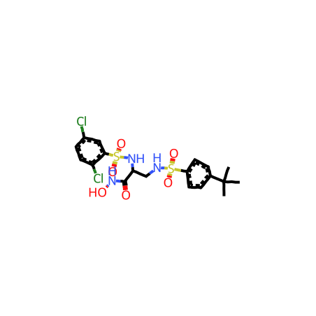 CC(C)(C)c1ccc(S(=O)(=O)NCC(NS(=O)(=O)c2cc(Cl)ccc2Cl)C(=O)NO)cc1